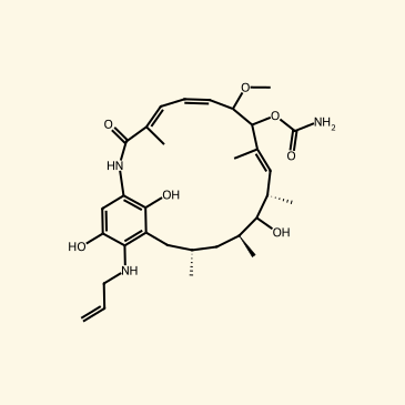 C=CCNc1c(O)cc2c(O)c1C[C@@H](C)C[C@H](C)C(O)[C@@H](C)/C=C(\C)C(OC(N)=O)C(OC)/C=C\C=C(/C)C(=O)N2